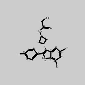 O=C(CO)N[C@H]1C[C@H](c2c(-c3ccc(F)cc3)[nH]c3c(F)cc(F)cc32)C1